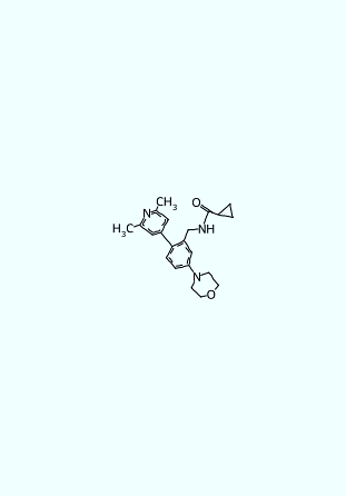 Cc1cc(-c2ccc(N3CCOCC3)cc2CNC(=O)C2CC2)cc(C)n1